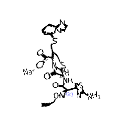 C#CCO/N=C(\C(=O)N[C@@H]1C(=O)N2C(C(=O)[O-])=C(CSc3cccc4nccn34)CS[C@@H]12)c1csc(N)n1.[Na+]